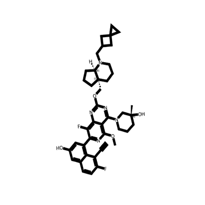 C#Cc1c(F)ccc2cc(O)cc(-c3nc(OC)c4c(N5CCC[C@@](C)(O)C5)nc(OC[C@]56CCC[C@H]5N(CC5CC7(CC7)C5)CCC6)nc4c3F)c12